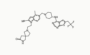 Cc1c(CN2CCC(Nc3ncnc4sc(CC(F)(F)F)cc34)CC2)ccc2c1cc(C#N)n2CCN1CCC2(CNC(=O)C2)C1